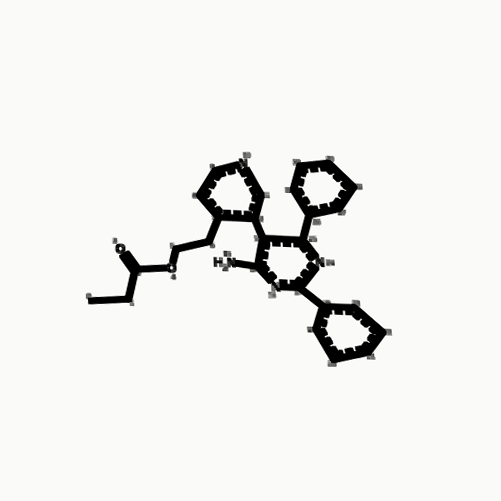 CCC(=O)OCCc1ccncc1-c1c(N)nc(-c2ccccc2)nc1-c1ccccc1